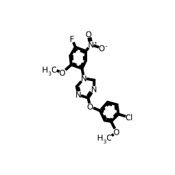 COc1cc(OC2=NCN(c3cc([N+](=O)[O-])c(F)cc3OC)C=N2)ccc1Cl